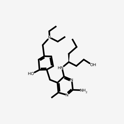 CCC[C@@H](CCO)Nc1nc(N)nc(C)c1Cc1ccc(CN(CC)CC)cc1O